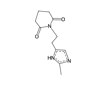 Cc1ncc(CCN2C(=O)CCCC2=O)[nH]1